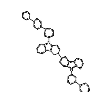 C1=CC(c2ccc3c(c2)c2ccccc2n3-c2cccc(-c3ccccc3)c2)Cc2c1n(-c1cccc(-c3ccc(-c4ccccc4)cc3)c1)c1ccccc21